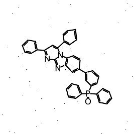 O=P(c1ccccc1)(c1ccccc1)c1cccc(-c2ccc3c(c2)nc2nc(-c4ccccc4)cc(-c4ccccc4)n23)c1